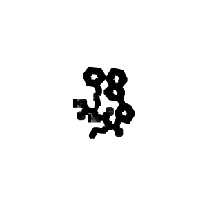 CCCN(C(=O)N[C@@H](CSCc1ccccc1)C(=O)O)C(=O)c1cccc(-c2ccc3ccccc3c2)c1